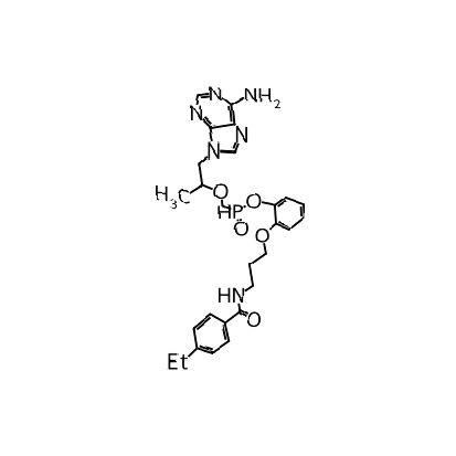 CCc1ccc(C(=O)NCCCOc2ccccc2O[PH](=O)COC(C)Cn2cnc3c(N)ncnc32)cc1